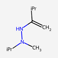 C=C(NN(C)C(C)C)C(C)C